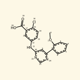 COc1ccccc1-c1cc(Nc2ccc(Cl)c(C(=O)O)c2)ncn1